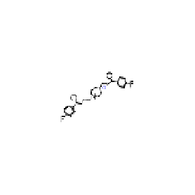 O=C(/C=C/C1CCN(CCCC(=O)c2ccc(F)cc2)CC1)c1ccc(F)cc1